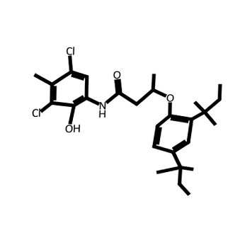 CCC(C)(C)c1ccc(OC(C)CC(=O)Nc2cc(Cl)c(C)c(Cl)c2O)c(C(C)(C)CC)c1